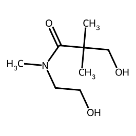 CN(CCO)C(=O)C(C)(C)CO